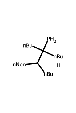 CCCCCCCCCC(CCCC)C(P)(CCCC)CCCC.I